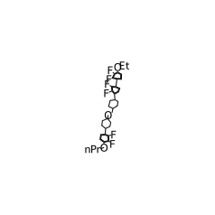 CCCOc1ccc(C2CCC(OCC3CCC(c4ccc(-c5ccc(OCC)c(F)c5F)c(F)c4F)CC3)CC2)c(F)c1F